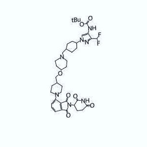 CC(C)(C)OC(=O)Nc1cn(C2CCC(CN3CCC(OCC4CCN(c5cccc6c5C(=O)N(C5CCC(=O)NC5=O)C6=O)CC4)CC3)CC2)nc1C(F)F